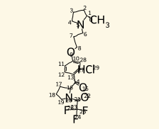 C[C@@H]1CCCN1CCCOc1ccc(C(=O)C2CCCN2C(=O)C(F)(F)F)cc1.Cl